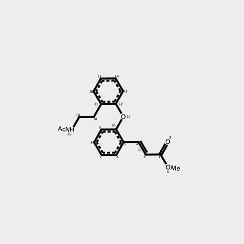 COC(=O)/C=C/c1ccccc1Oc1ccccc1CCNC(C)=O